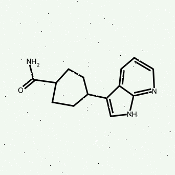 NC(=O)C1CCC(c2c[nH]c3ncccc23)CC1